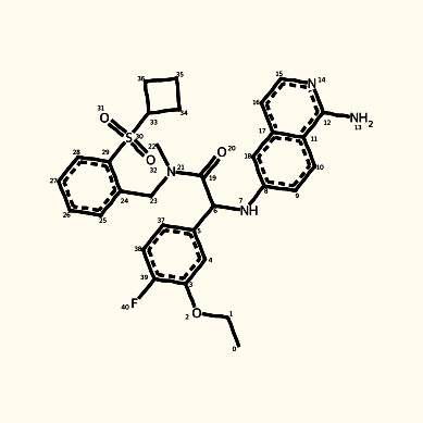 CCOc1cc(C(Nc2ccc3c(N)nccc3c2)C(=O)N(C)Cc2ccccc2S(=O)(=O)C2CCC2)ccc1F